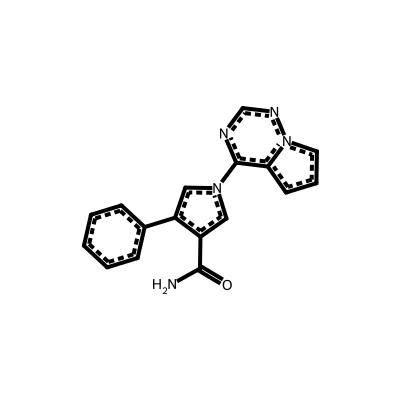 NC(=O)c1cn(-c2ncnn3cccc23)cc1-c1ccccc1